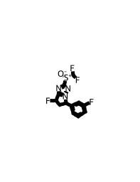 [O-][S+](c1nc2n(n1)C(c1cccc(F)c1)CC2F)C(F)F